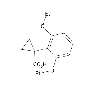 CCOc1cccc(OCC)c1C1(C(=O)O)CC1